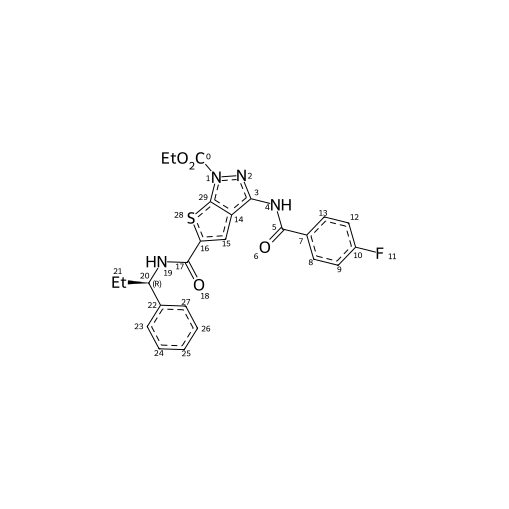 CCOC(=O)n1nc(NC(=O)c2ccc(F)cc2)c2cc(C(=O)N[C@H](CC)c3ccccc3)sc21